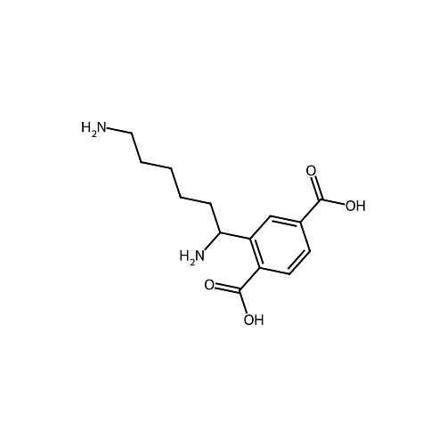 NCCCCCC(N)c1cc(C(=O)O)ccc1C(=O)O